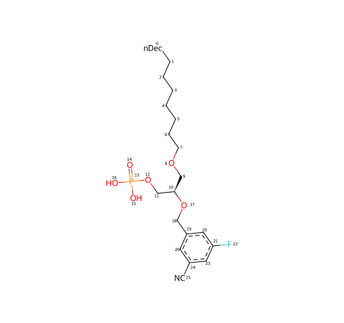 CCCCCCCCCCCCCCCCCOC[C@H](COP(=O)(O)O)OCc1cc(F)cc(C#N)c1